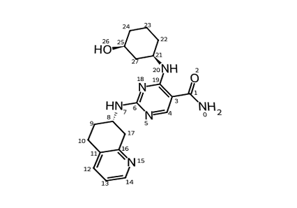 NC(=O)c1cnc(N[C@H]2CCc3cccnc3C2)nc1N[C@@H]1CCC[C@H](O)C1